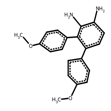 COc1ccc(-c2ccc(N)c(N)c2-c2ccc(OC)cc2)cc1